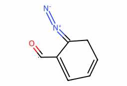 [N-]=[N+]=C1CC=CC=C1[C]=O